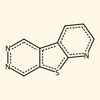 c1cnc2sc3cnncc3c2c1